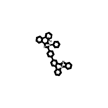 C1=CC[C@H]2C(=C1)c1ccccc1-c1nc(-c3ccc(-c4ccc5c6ccccc6n6c7ccccc7nc6c5c4)cc3)n(-c3ccccc3)c12